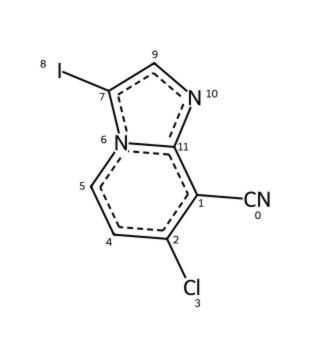 N#Cc1c(Cl)ccn2c(I)cnc12